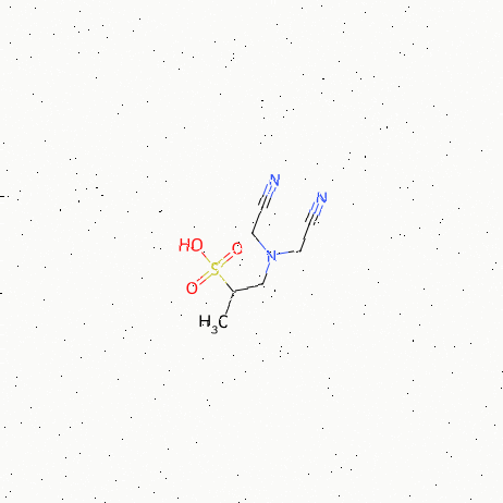 CC(CN(CC#N)CC#N)S(=O)(=O)O